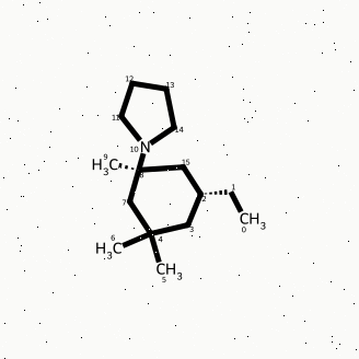 CC[C@@H]1CC(C)(C)C[C@@](C)(N2CCCC2)C1